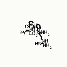 CC(C)C[C@H](NC(=O)[C@@H]1CCCN1C(=O)[C@@H]1CCCN1C(=O)[C@@H](N)CCCNC(=N)N)C(=O)O